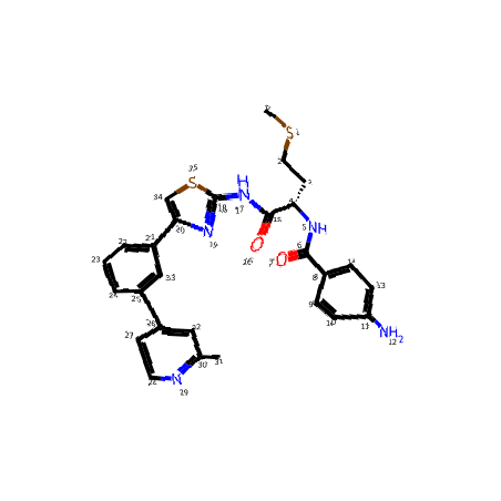 CSCC[C@H](NC(=O)c1ccc(N)cc1)C(=O)Nc1nc(-c2cccc(-c3ccnc(C)c3)c2)cs1